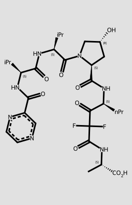 CCC[C@H](NC(=O)[C@@H]1C[C@@H](O)CN1C(=O)[C@@H](NC(=O)[C@@H](NC(=O)c1cnccn1)C(C)C)C(C)C)C(=O)C(F)(F)C(=O)N[C@@H](C)C(=O)O